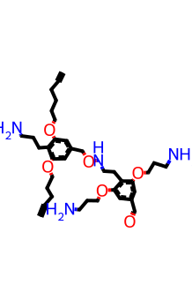 C#CCCCCOc1cc(CONCCc2c(OCCCN)cc(C=O)cc2OCCCN)cc(OCCCC#C)c1CCCN